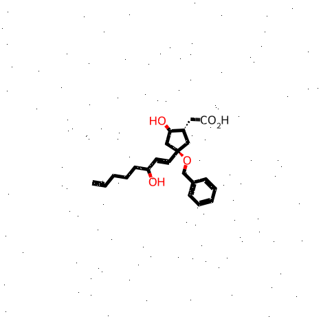 C=CCCCC(O)C=C[C@]1(OCc2ccccc2)CC(O)[C@H](CC(=O)O)C1